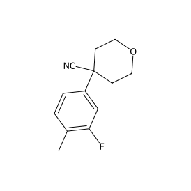 Cc1ccc(C2(C#N)CCOCC2)cc1F